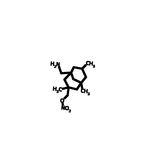 CC1CC2(C)CC(C)(CO[N+](=O)[O-])CC(CN)(C1)C2